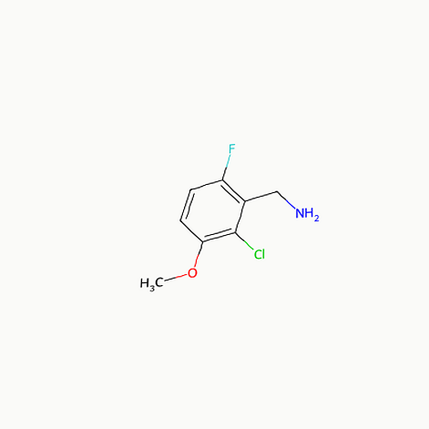 COc1ccc(F)c(CN)c1Cl